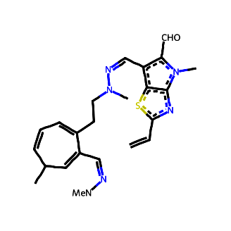 C=Cc1nc2c(s1)c(/C=N\N(C)CCC1=CC=CC(C)C=C1/C=N\NC)c(C=O)n2C